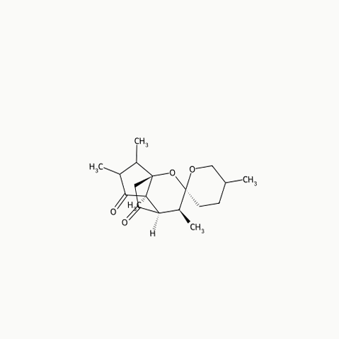 CC1CC[C@@]2(OC1)O[C@]13CC(=O)[C@H]([C@@H]2C)[C@@]1(C)C(=O)C(C)C3C